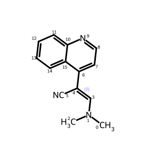 CN(C)/C=C(\C#N)c1ccnc2ccccc12